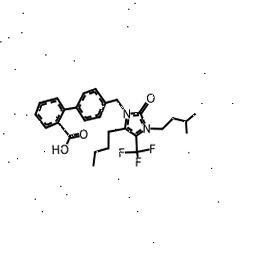 CCCCc1c(C(F)(F)F)n(CCC(C)C)c(=O)n1Cc1ccc(-c2ccccc2C(=O)O)cc1